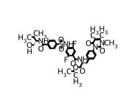 Cc1c(C)n(C)c(=O)n(-c2ccc(C[C@H](NC(=O)c3cc(F)c(NS(=O)(=O)c4ccc(C(=O)N[C@H](CO)C(C)C)cc4)cc3F)C(=O)OC(C)C)cc2)c1=O